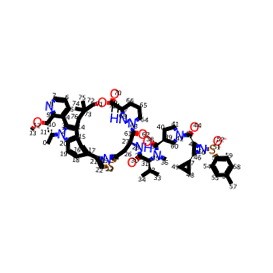 CCn1c(-c2cccnc2[C@H](C)OC)c2c3cc(ccc31)-c1csc(n1)C[C@H](NC(=O)[C@H](C(C)C)N(C)C(=O)[C@H]1CCN(C(=O)[C@H]3[C@@H](C4CC4)N3[S@+]([O-])c3ccc(C)cc3)C1)C(=O)N1CCC[C@H](N1)C(=O)OCC(C)(C)C2